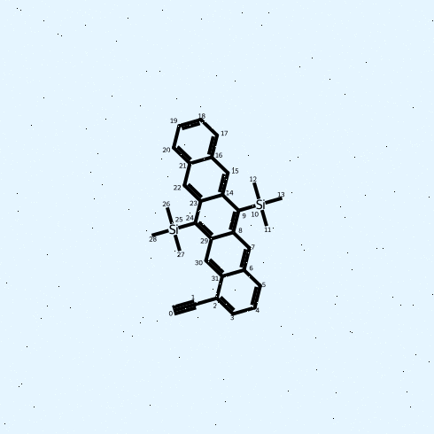 C#Cc1cccc2cc3c([Si](C)(C)C)c4cc5ccccc5cc4c([Si](C)(C)C)c3cc12